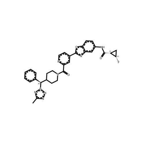 Cc1nnn([C@@H](c2ccccc2)C2CCN(C(=O)c3cc(-c4nc5cc(NC(=O)[C@@H]6C[C@@H]6F)ccc5o4)ccn3)CC2)n1